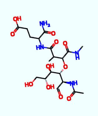 CNC(=O)C(O[C@@H]([C@H](O)[C@H](O)CO)[C@H](C=O)NC(C)=O)C(C)C(=O)NC(CCC(=O)O)C(N)=O